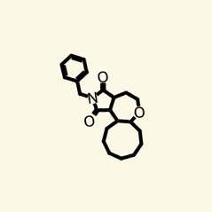 O=C1C2CCOC3CCCCCCCC3C2C(=O)N1Cc1ccccc1